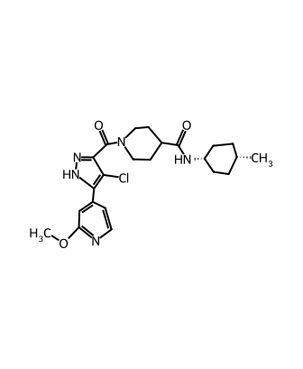 COc1cc(-c2[nH]nc(C(=O)N3CCC(C(=O)N[C@H]4CC[C@@H](C)CC4)CC3)c2Cl)ccn1